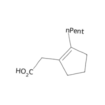 CCCCCC1=C(CC(=O)O)CCC1